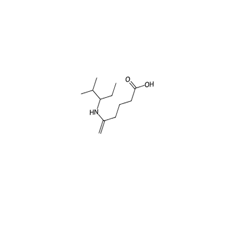 C=C(CCCC(=O)O)NC(CC)C(C)C